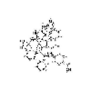 CC1(C)CCC2(CC1)N([C@H](c1ccccc1)[C@@H](O)c1ccccc1)C(C(=O)N[C@@H]1CC[C@@H](CO)OC1)[C@H](c1cccc(Cl)c1F)C21C(=O)Nc2nc(Cl)ccc21